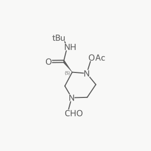 CC(=O)ON1CCN(C=O)C[C@H]1C(=O)NC(C)(C)C